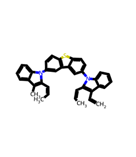 C=Cc1c(/C=C\C)n(-c2ccc3sc4ccc(-n5c(/C=C\C)c(C)c6ccccc65)cc4c3c2)c2ccccc12